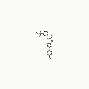 CCCS(=O)(=O)c1ccc(/C=C\C(=O)Nc2nc(-c3ccc(Br)cc3)cs2)cc1